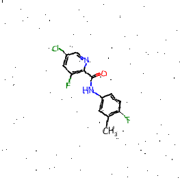 Cc1cc(NC(=O)c2ncc(Cl)cc2F)ccc1F